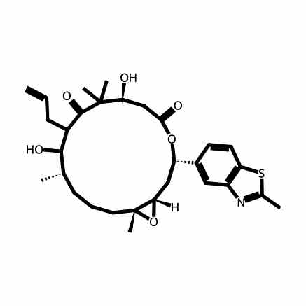 C=CCC1C(=O)C(C)(C)[C@@H](O)CC(=O)O[C@H](c2ccc3sc(C)nc3c2)C[C@@H]2O[C@]2(C)CCC[C@H](C)C1O